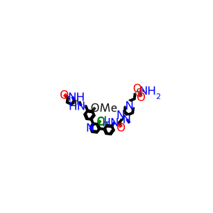 COc1cc(-c2nccc(-c3cccc(NC(=O)c4nc5c(n4C)CCN(CCCS(N)(=O)=O)C5)c3Cl)c2Cl)ccc1CNC[C@@H]1CCC(=O)N1